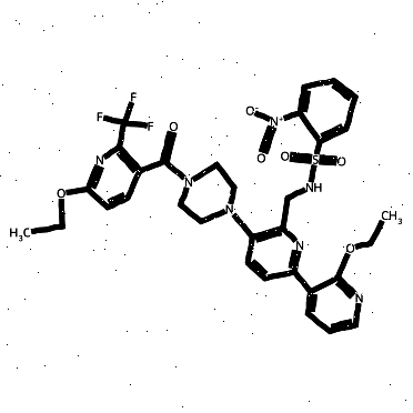 CCOc1ccc(C(=O)N2CCN(c3ccc(-c4cccnc4OCC)nc3CNS(=O)(=O)c3ccccc3[N+](=O)[O-])CC2)c(C(F)(F)F)n1